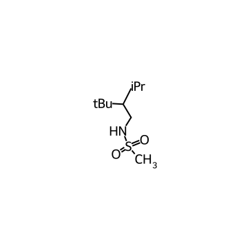 CC(C)C(CNS(C)(=O)=O)C(C)(C)C